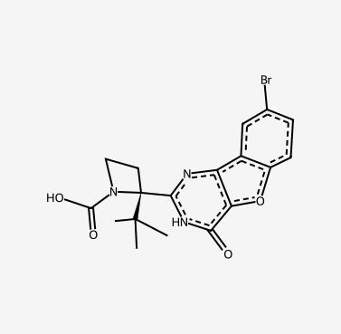 CC(C)(C)[C@]1(c2nc3c(oc4ccc(Br)cc43)c(=O)[nH]2)CCN1C(=O)O